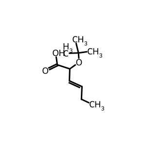 CCC=CC(OC(C)(C)C)C(=O)O